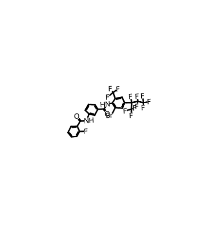 O=C(Nc1c(Br)cc(C(F)(C(F)(F)F)C(F)(F)C(F)(F)F)cc1C(F)(F)F)c1cccc(NC(=O)c2ccccc2F)c1